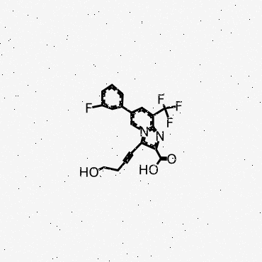 O=C(O)c1nc2c(C(F)(F)F)cc(-c3cccc(F)c3)cn2c1C#CCCO